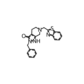 O=c1c2c([nH]n1Cc1ccccc1)CN(Cc1nc3ccccc3s1)CC2